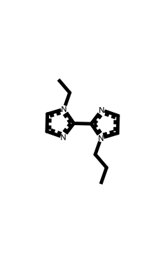 CCCn1ccnc1-c1nccn1CC